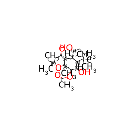 C=C[C@@]1(C)CC(=O)[C@@H]2[C@@]3(C)[C@@H](O)CCC(C)(C)[C@@H]3[C@H](O)C(OC(C)=O)[C@@]2(C)O1